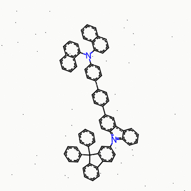 c1ccc(C2(c3ccccc3)c3ccccc3-c3ccc(-n4c5ccccc5c5cc(-c6ccc(-c7ccc(N(c8cccc9ccccc89)c8cccc9ccccc89)cc7)cc6)ccc54)cc32)cc1